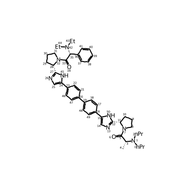 CCCN(CCC)[C@H](C)C(=O)N1CCC[C@H]1c1ncc(-c2ccc(-c3ccc(-c4cnc([C@@H]5CCCN5C(=O)[C@@H](c5ccccc5)N(CC)CC)[nH]4)cc3)cc2)[nH]1